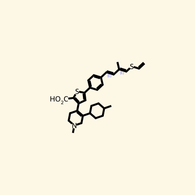 C=CS/C=C(C)/C=C/c1ccc(-c2cc(C3=C(C4CCC(C)CC4)CN(C)CC3)c(C(=O)O)s2)cc1